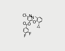 Cc1cccc(C2CC2)c1Oc1nnc(Cl)cc1OC(=O)c1ccc(F)c(F)c1